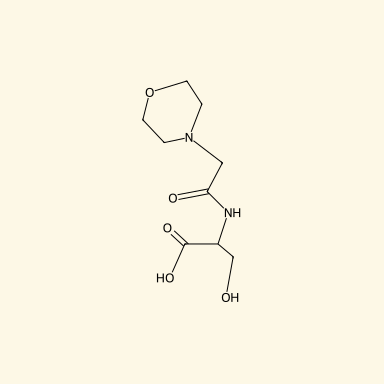 O=C(CN1CCOCC1)NC(CO)C(=O)O